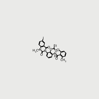 CCC(=O)Oc1c(NC(=O)c2c(C)cccc2Cl)cccc1-n1c(=O)c2cc(I)ccc2n(C)c1=O